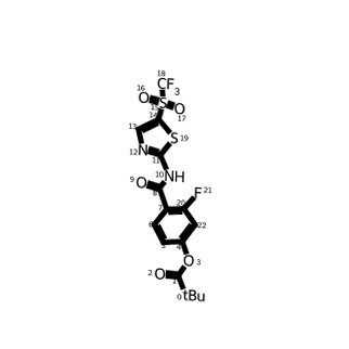 CC(C)(C)C(=O)Oc1ccc(C(=O)Nc2ncc(S(=O)(=O)C(F)(F)F)s2)c(F)c1